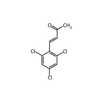 CC(=O)C=Cc1c(Cl)cc(Cl)cc1Cl